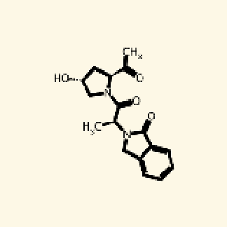 CC(=O)[C@@H]1C[C@@H](O)CN1C(=O)[C@H](C)N1Cc2ccccc2C1=O